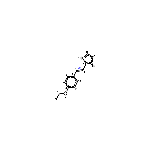 CCOc1ccc(/C=C/c2nccs2)cc1